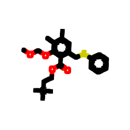 COCOc1c(C)c(C)cc(CSc2ccccc2)c1C(=O)OCC[Si](C)(C)C